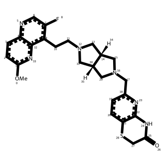 COc1ccc2ncc(F)c(CCN3C[C@@H]4CN(Cc5ccc6c(n5)NC(=O)CS6)C[C@@H]4C3)c2n1